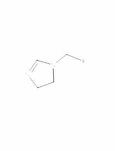 CC(C)CN1C=NCC1.S